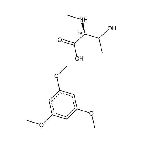 CN[C@H](C(=O)O)C(C)O.COc1cc(OC)cc(OC)c1